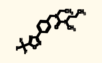 CCCN(C)C(=O)N(CC)Cc1ccc(-c2noc(C(F)(F)F)n2)cc1